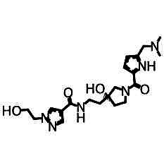 CN(C)Cc1ccc(C(=O)N2CC[C@](O)(CCNC(=O)c3cnn(CCO)c3)C2)[nH]1